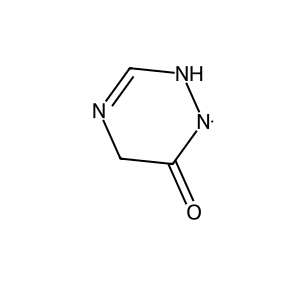 O=C1CN=CN[N]1